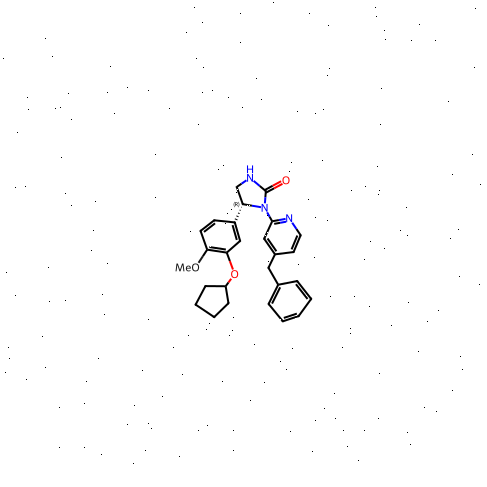 COc1ccc([C@@H]2CNC(=O)N2c2cc(Cc3ccccc3)ccn2)cc1OC1CCCC1